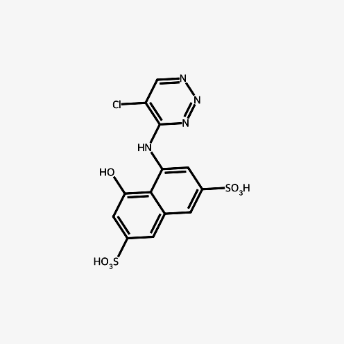 O=S(=O)(O)c1cc(O)c2c(Nc3nnncc3Cl)cc(S(=O)(=O)O)cc2c1